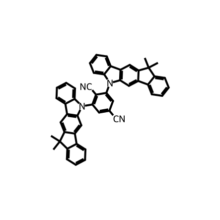 CC1(C)c2ccccc2-c2cc3c(cc21)c1ccccc1n3-c1cc(C#N)cc(-n2c3ccccc3c3cc4c(cc32)-c2ccccc2C4(C)C)c1C#N